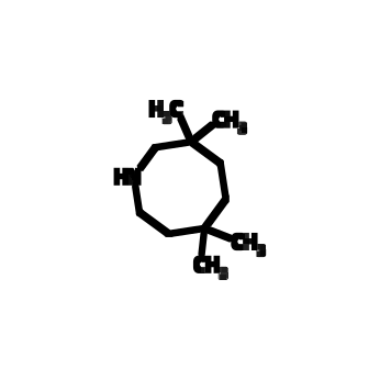 CC1(C)CCNCC(C)(C)CC1